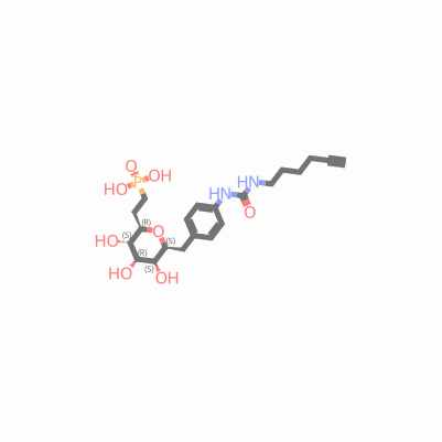 C#CCCCCNC(=O)Nc1ccc(C[C@@H]2O[C@H](CCP(=O)(O)O)[C@@H](O)[C@H](O)[C@@H]2O)cc1